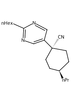 CCCCCCc1ncc([C@]2(C#N)CC[C@H](CCC)CC2)cn1